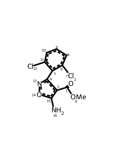 COC(=O)c1c(-c2c(Cl)cccc2Cl)noc1N